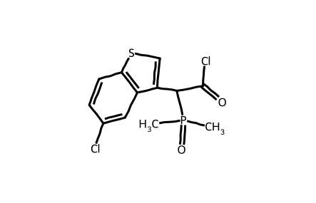 CP(C)(=O)C(C(=O)Cl)c1csc2ccc(Cl)cc12